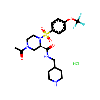 CC(=O)N1CCN(S(=O)(=O)c2ccc(OC(F)(F)F)cc2)[C@@H](C(=O)NCC2CCNCC2)C1.Cl